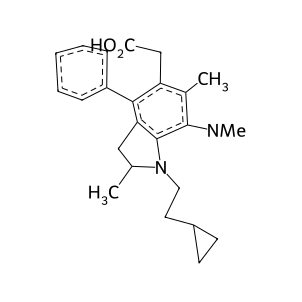 CNc1c(C)c(CC(=O)O)c(-c2ccccc2)c2c1N(CCC1CC1)C(C)C2